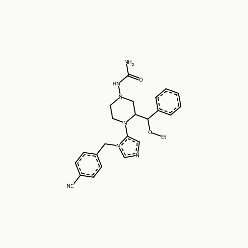 CCOC(c1ccccc1)C1CN(NC(N)=O)CCN1c1cncn1Cc1ccc(C#N)cc1